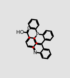 O=C(O)CCc1cnc2ccccc2c1-c1ccccc1P(c1ccccc1)c1ccccc1